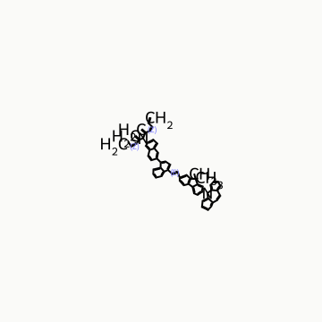 C=C/C=C\C(=C)N(C(=C)/C=C\C=C)c1ccc2cc(-c3ccc(/C=C/c4ccc5c(c4)C(C)(C)c4cc(N6c7ccccc7C=Cc7ccccc76)ccc4-5)c4ccccc34)ccc2c1